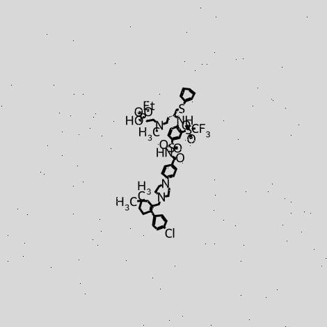 CCOP(=O)(O)CCN(C)CC[C@H](CSc1ccccc1)Nc1ccc(S(=O)(=O)NC(=O)c2ccc(N3CCN(CC4=C(c5ccc(Cl)cc5)CCC(C)(C)C4)CC3)cc2)cc1S(=O)(=O)C(F)(F)F